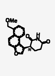 COCc1cccc2c1ccc1occ([C@@H]3CCC(=O)NC3=O)c12